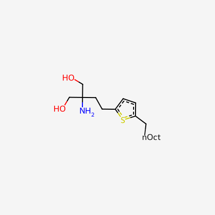 CCCCCCCCCc1ccc(CCC(N)(CO)CO)s1